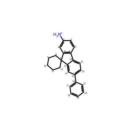 Nc1ccc2c(c1)C1(CCCCC1)c1cc(-c3ccccc3)ccc1-2